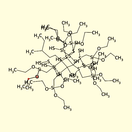 CCO[Si](CS(S)(SS)C(C)(C(CCC(C)CC)(S(S)(C[Si](OCC)(OCC)OCC)SS)S(S)(C[Si](OCC)(OCC)OCC)SS)C(S(S)(C[Si](OCC)(OCC)OCC)SS)(S(S)(C[Si](OCC)(OCC)OCC)SS)S(S)(C[Si](OCC)(OCC)OCC)SS)(OCC)OCC